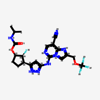 CC(C)NC(=O)O[C@@H]1CC[C@H](c2cc(Nc3ncc(C#N)c4nc(COC(F)(F)F)cn34)n[nH]2)[C@H]1F